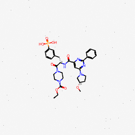 CCOC(=O)N1CCN(C(=O)[C@H](Cc2cccc(P(=O)(O)O)c2)NC(=O)c2cc(N3CC[C@H](OC)C3)nc(-c3ccccc3)n2)CC1